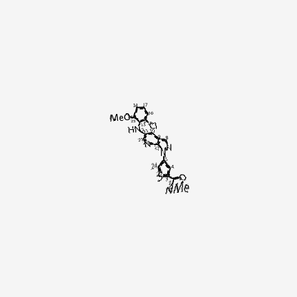 CNC(=O)c1cc(-n2ncc3cc(Nc4c(Cl)cccc4OC)cnc32)cs1